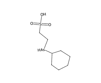 O=S(=O)(O)CC[AsH]C1CCCCC1